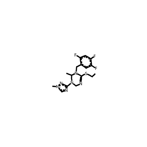 CCSC1=NCN(c2ncn(C)n2)C(C)N1Cc1cc(F)c(F)cc1F